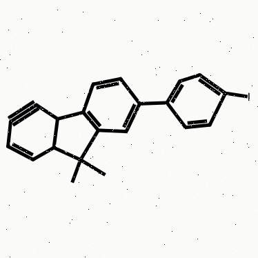 CC1(C)c2cc(-c3ccc(I)cc3)ccc2C2C#CC=CC21